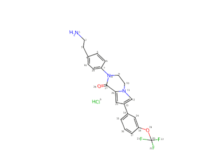 Cl.NCCc1ccc(N2CCn3cc(-c4cccc(OC(F)(F)F)c4)cc3C2=O)cc1